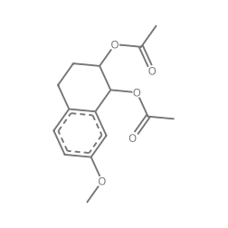 COc1ccc2c(c1)C(OC(C)=O)C(OC(C)=O)CC2